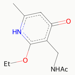 CCOc1[nH]c(C)cc(=O)c1CNC(C)=O